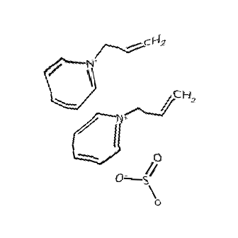 C=CC[n+]1ccccc1.C=CC[n+]1ccccc1.O=S([O-])[O-]